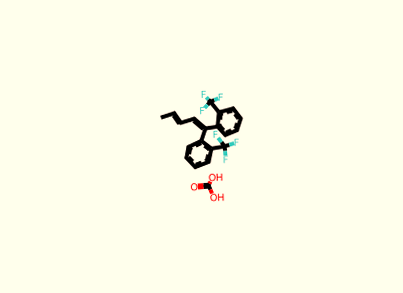 C/C=C/C=C(c1ccccc1C(F)(F)F)c1ccccc1C(F)(F)F.O=C(O)O